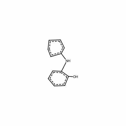 Oc1[c]cccc1Nc1ccccc1